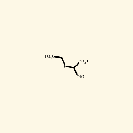 O=CC([N]CC(=O)O)C(=O)O